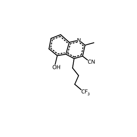 Cc1nc2cccc(O)c2c(CCCC(F)(F)F)c1C#N